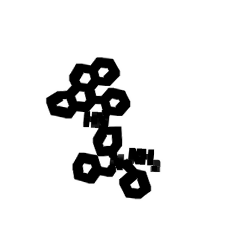 NC(c1ccccc1)N(Cc1ccccc1)c1ccc(NC2C=CC=CC2C2=C3C4C=CC=CC4C=CC3C3C=CC=CC3=C2)cc1